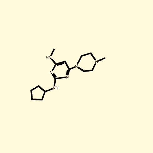 CNc1cc(N2CCN(C)CC2)nc(NC2CCCC2)n1